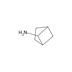 NC1C2CCC1C2